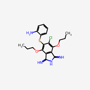 CCCOc1c(Cl)c(Sc2ccccc2N)c(OCCC)c2c1C(=N)NC2=N